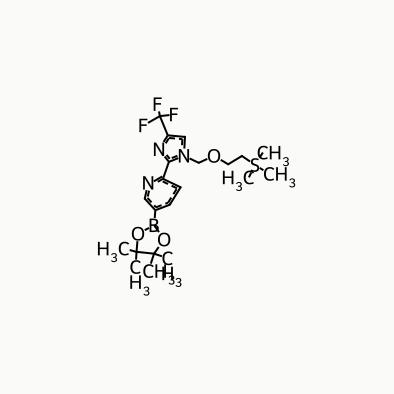 CC1(C)OB(c2ccc(-c3nc(C(F)(F)F)cn3COCCS(C)(C)C)nc2)OC1(C)C